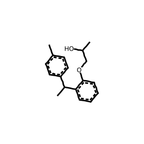 Cc1ccc(C(C)c2ccccc2OCC(C)O)cc1